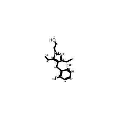 CCc1nn(CCO)c(CC)c1Cc1c(F)cccc1F